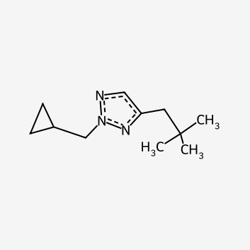 CC(C)(C)Cc1cnn(CC2CC2)n1